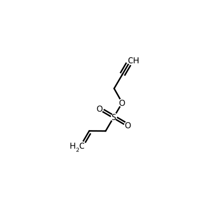 C#CCOS(=O)(=O)CC=C